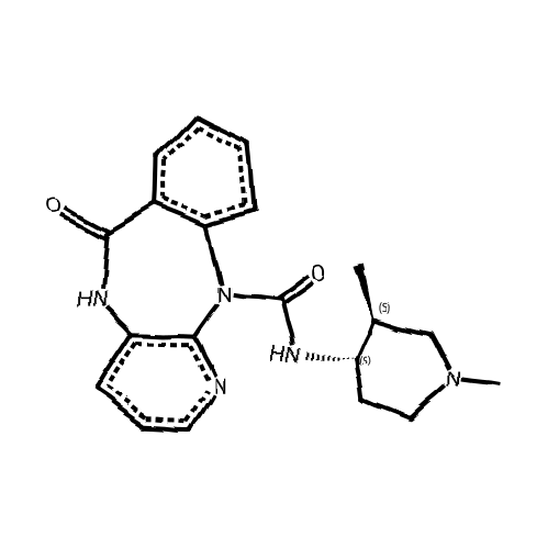 C[C@H]1CN(C)CC[C@@H]1NC(=O)N1c2ccccc2C(=O)Nc2cccnc21